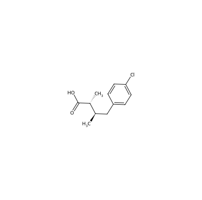 C[C@H](Cc1ccc(Cl)cc1)[C@@H](C)C(=O)O